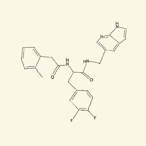 Cc1ccccc1CC(=O)NC(Cc1ccc(F)c(F)c1)C(=O)NCc1cnc2[nH]ccc2c1